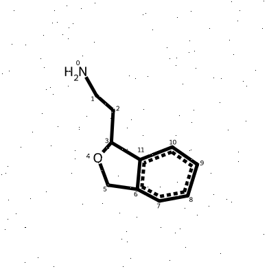 NCCC1OCc2ccccc21